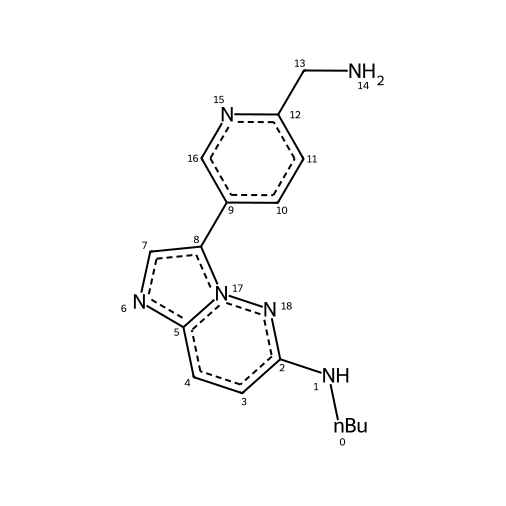 CCCCNc1ccc2ncc(-c3ccc(CN)nc3)n2n1